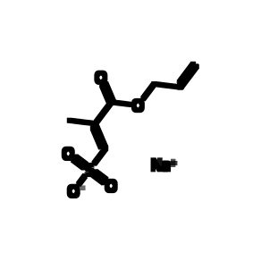 C=CCOC(=O)C(C)=CS(=O)(=O)[O-].[Na+]